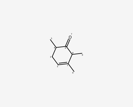 CC1=CCC(C)C(=O)C1C